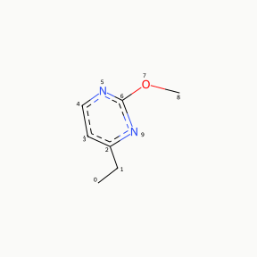 CCc1[c]cnc(OC)n1